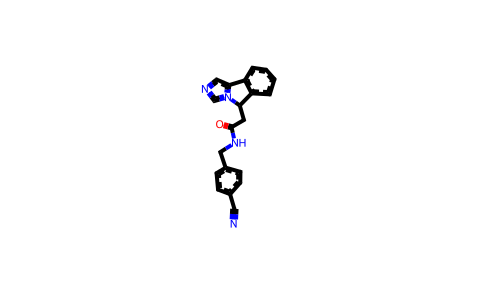 N#Cc1ccc(CNC(=O)CC2c3ccccc3-c3cncn32)cc1